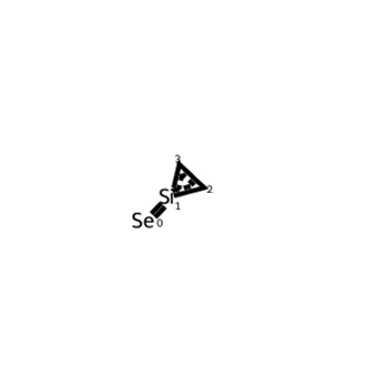 [Se]=[si]1cc1